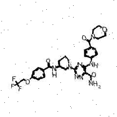 NC(=O)c1nnc(N2CCCC(NC(=O)c3ccc(OCC(F)(F)F)cc3)C2)nc1Nc1ccc(C(=O)N2CCOCC2)cc1